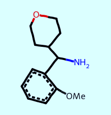 COc1ccccc1C(N)C1CCOCC1